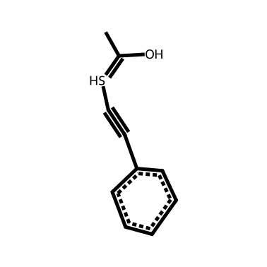 CC(O)=[SH]C#Cc1ccccc1